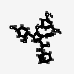 Cc1cc(C)cc(Oc2c(C#N)c(C(=O)NC34CCC(CC3)C4)nn2-c2ccc(Cl)cc2Cl)c1